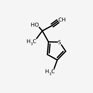 C#CC(C)(O)c1cc(C)cs1